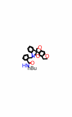 CCCCNC(=O)c1ccccc1CN1C(=O)C2(COc3cc4c(cc32)CCO4)c2ccccc21